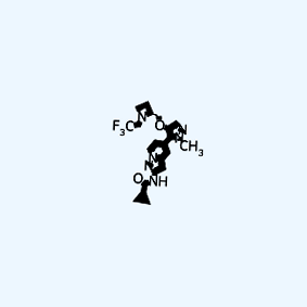 Cn1ncc(OC[C@H]2CCN2CC(F)(F)F)c1-c1ccn2nc(NC(=O)C3CC3)cc2c1